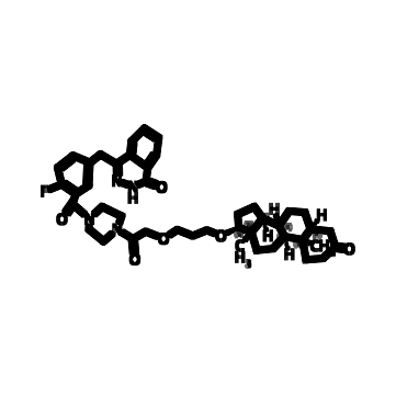 C[C@]12CCC(=O)C[C@@H]1CC[C@@H]1[C@@H]2CC[C@]2(C)[C@@H](OCCCOCC(=O)N3CCN(C(=O)c4cc(Cc5n[nH]c(=O)c6ccccc56)ccc4F)CC3)CC[C@@H]12